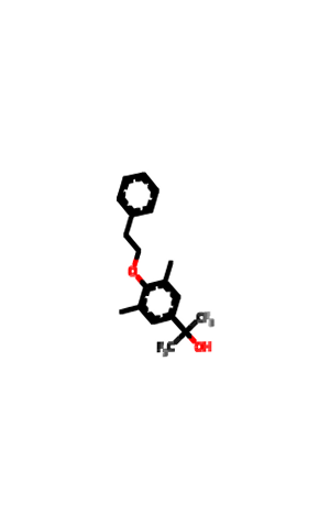 Cc1cc(C(O)(C(F)(F)F)C(F)(F)F)cc(C)c1OCCc1ccccc1